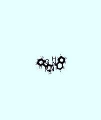 c1ccc2c(c1)CCCC2Nc1ncnc2c1oc1ccccc12